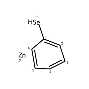 [SeH]c1ccccc1.[Zn]